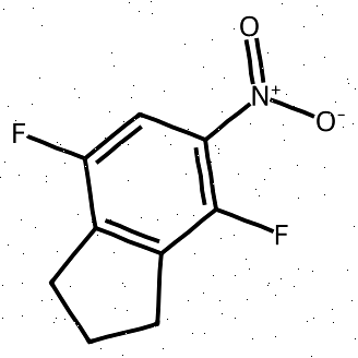 O=[N+]([O-])c1cc(F)c2c(c1F)CCC2